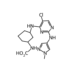 Cn1cc(Nc2ncc(Cl)c(NC3CCCC(NC(=O)O)C3)n2)cn1